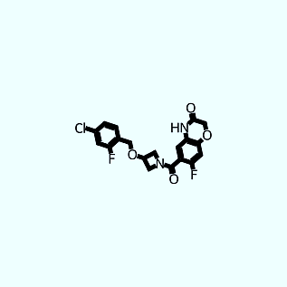 O=C1COc2cc(F)c(C(=O)N3CC(OCc4ccc(Cl)cc4F)C3)cc2N1